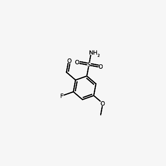 COc1cc(F)c(C=O)c(S(N)(=O)=O)c1